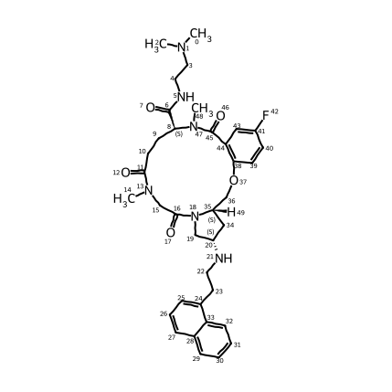 CN(C)CCNC(=O)[C@@H]1CCC(=O)N(C)CC(=O)N2C[C@@H](NCCc3cccc4ccccc34)C[C@H]2COc2ccc(F)cc2C(=O)N1C